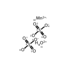 O=S(=O)([O-])[O-].O=S(=O)([O-])[O-].[Mn+2].[OH4+2]